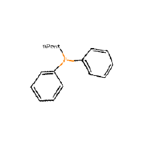 CCCCCP(c1ccccc1)c1ccccc1